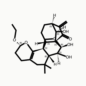 C=C1C(=O)[C@]23[C@H](O)[C@H]1CC[C@H]2[C@@]12CO[C@@]3(O)[C@@H](O)[C@@H]1C(C)(C)CC1=C2O[C@@H](OCC)CC1